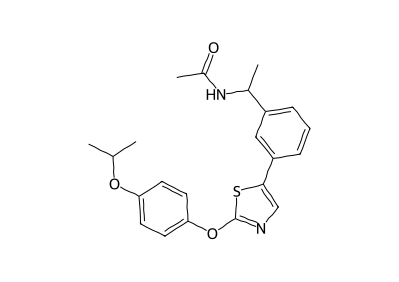 CC(=O)NC(C)c1cccc(-c2cnc(Oc3ccc(OC(C)C)cc3)s2)c1